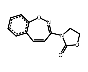 O=C1OCCN1C1=NOc2ccccc2C=C1